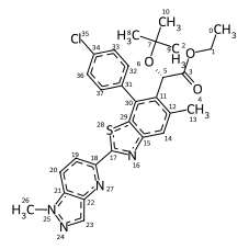 CCOC(=O)[C@@H](OC(C)(C)C)c1c(C)cc2nc(-c3ccc4c(cnn4C)n3)sc2c1-c1ccc(Cl)cc1